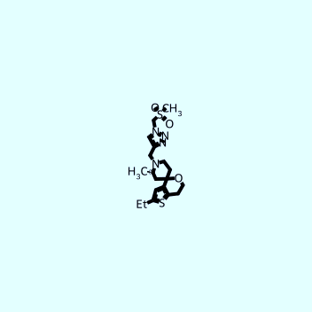 CCc1cc2c(s1)CCOC21CCN(Cc2cn(CS(C)(=O)=O)nn2)[C@@H](C)C1